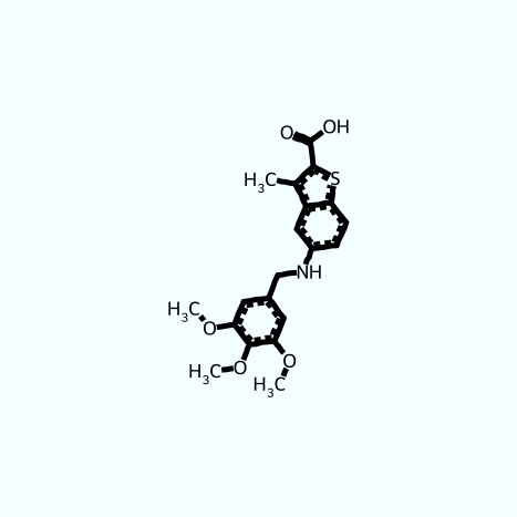 COc1cc(CNc2ccc3sc(C(=O)O)c(C)c3c2)cc(OC)c1OC